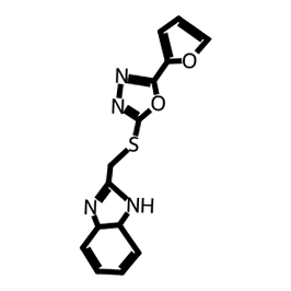 C1=CC2N=C(CSc3nnc(-c4ccco4)o3)NC2C=C1